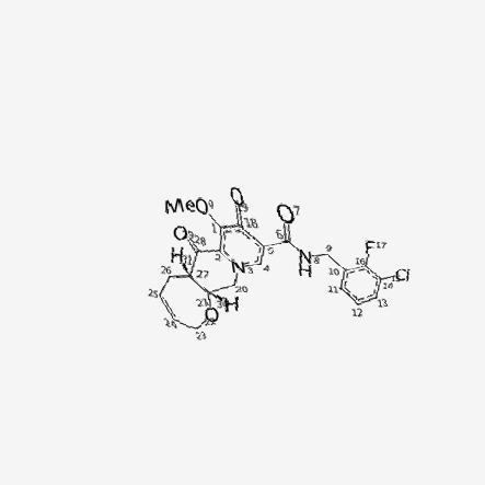 COc1c2n(cc(C(=O)NCc3cccc(Cl)c3F)c1=O)C[C@@H]1OCC=CC[C@@H]1C2=O